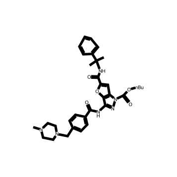 CCCCOC(=O)n1nc(NC(=O)c2ccc(CN3CCN(C)CC3)cc2)c2oc(C(=O)NC(C)(C)c3ccccc3)cc21